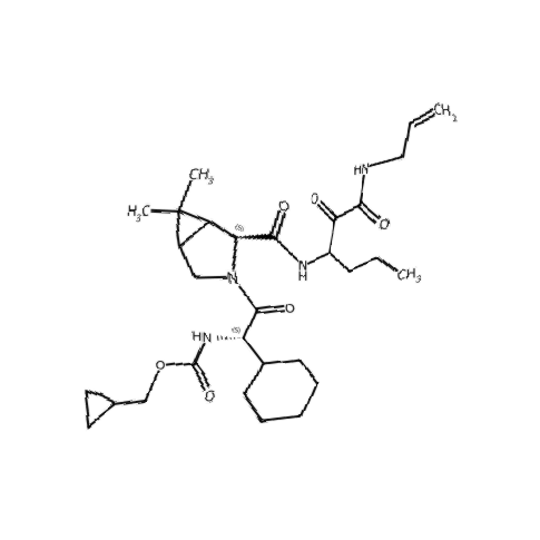 C=CCNC(=O)C(=O)C(CCC)NC(=O)[C@@H]1C2C(CN1C(=O)[C@@H](NC(=O)OCC1CC1)C1CCCCC1)C2(C)C